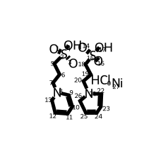 Cl.O=S(=O)(O)CCCN1C=CC=CC1.O=S(=O)(O)CCCN1C=CC=CC1.[Ni]